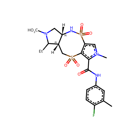 CCC1[C@H]2CS(=O)(=O)c3c(cn(C)c3C(=O)Nc3ccc(F)c(C)c3)S(=O)(=O)N[C@H]2CN1C(=O)O